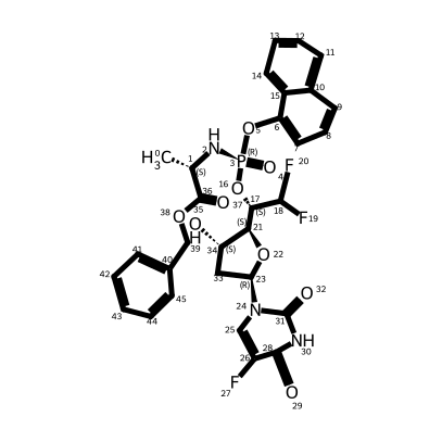 C[C@H](N[P@](=O)(Oc1cccc2ccccc12)O[C@H](C(F)F)[C@H]1O[C@@H](n2cc(F)c(=O)[nH]c2=O)C[C@@H]1O)C(=O)OCc1ccccc1